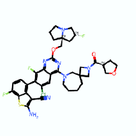 N#Cc1c(N)sc2c(F)ccc(-c3c(Cl)cc4c(N5CCCCC6(CN(C(=O)[C@H]7CCOC7)C6)C5)nc(OC[C@@]56CCCN5C[C@H](F)C6)nc4c3F)c12